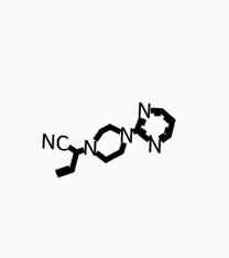 C=CC(C#N)N1CCN(c2ncccn2)CC1